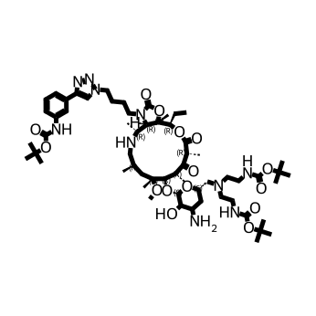 CC[C@H]1OC(=O)[C@H](C)C(=O)[C@H](C)[C@@H](O[C@@H]2O[C@H](CN(CCNC(=O)OC(C)(C)C)CCNC(=O)OC(C)(C)C)CC(N)C2O)[C@](C)(OC)C[C@@H](C)CN[C@H](C)[C@H]2N(CCCCn3cc(-c4cccc(NC(=O)OC(C)(C)C)c4)nn3)C(=O)O[C@]12C